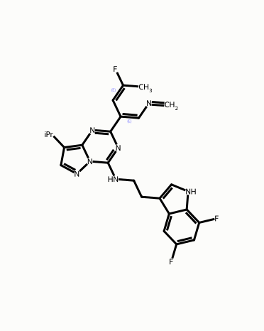 C=N/C=C(\C=C(/C)F)c1nc(NCCc2c[nH]c3c(F)cc(F)cc23)n2ncc(C(C)C)c2n1